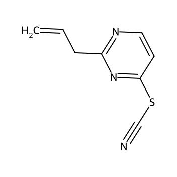 C=CCc1nccc(SC#N)n1